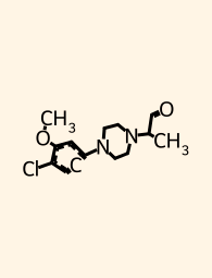 COc1cc(N2CCN(C(C)C=O)CC2)ccc1Cl